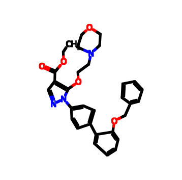 CCOC(=O)c1cnn(-c2ccc(-c3ccccc3OCc3ccccc3)cc2)c1OCCN1CCOCC1